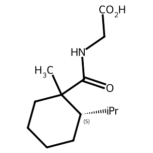 CC(C)[C@@H]1CCCCC1(C)C(=O)NCC(=O)O